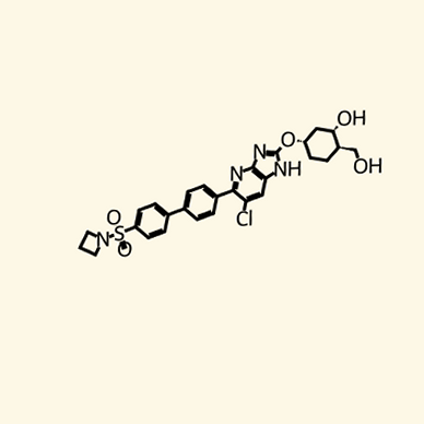 O=S(=O)(c1ccc(-c2ccc(-c3nc4nc(O[C@H]5CC[C@H](CO)[C@@H](O)C5)[nH]c4cc3Cl)cc2)cc1)N1CCC1